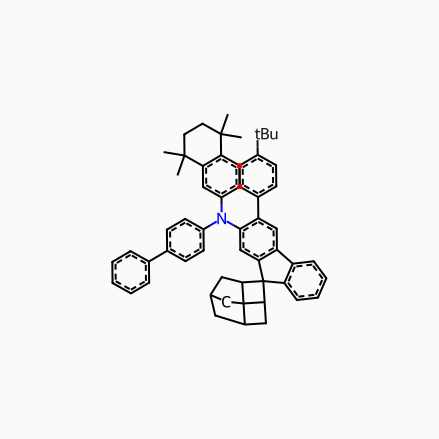 CC(C)(C)c1ccc(-c2cc3c(cc2N(c2ccc(-c4ccccc4)cc2)c2ccc4c(c2)C(C)(C)CCC4(C)C)C2(c4ccccc4-3)C3CC4CC5CC2C53C4)cc1